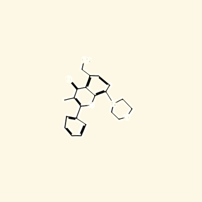 Cc1c(-c2ccccc2)oc2c(N3CCOCC3)ccc(CC#N)c2c1=O